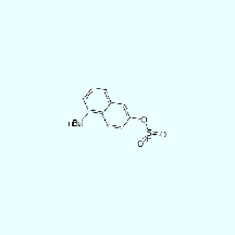 CCCCc1cccc2cc(O[SH](=O)=O)ccc12